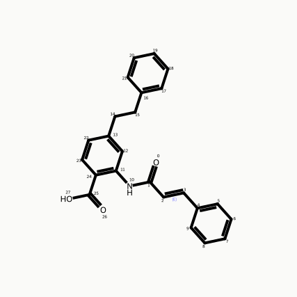 O=C(/C=C/c1ccccc1)Nc1cc(CCc2ccccc2)ccc1C(=O)O